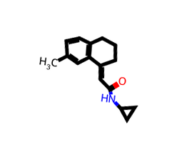 Cc1ccc2c(c1)/C(=C/C(=O)NC1CC1)CCC2